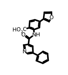 O=C(Nc1cc(-c2ccoc2)ccc1C(=O)O)c1cncc(-c2ccccc2)c1